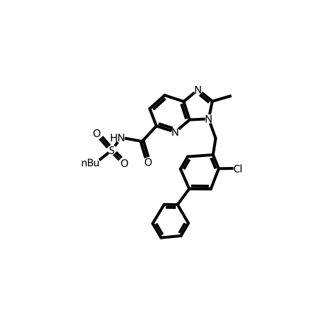 CCCCS(=O)(=O)NC(=O)c1ccc2nc(C)n(Cc3ccc(-c4ccccc4)cc3Cl)c2n1